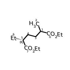 CCOC(=O)C(C)CC[C@@H](CC)C(=O)OCC